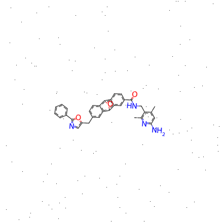 Cc1cc(N)nc(C)c1CNC(=O)c1ccc2c(c1)c1oc2c2ccc(Cc3cnc(-c4ccccc4)o3)cc21